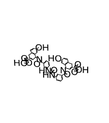 O=C(Nc1cccc(C(=O)N=C2C=C(S(=O)(=O)O)Cc3ccc(O)cc32)c1)Nc1cccc(C(=O)N=C2C=C(S(=O)(=O)O)Cc3ccc(O)cc32)c1